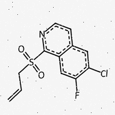 C=CCS(=O)(=O)c1nccc2cc(Cl)c(F)cc12